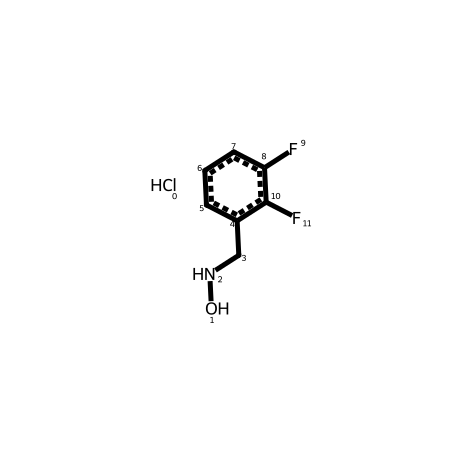 Cl.ONCc1cccc(F)c1F